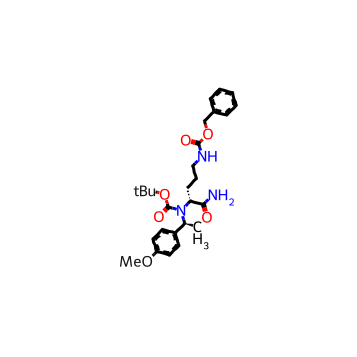 COc1ccc([C@H](C)N(C(=O)OC(C)(C)C)[C@H](CCCNC(=O)OCc2ccccc2)C(N)=O)cc1